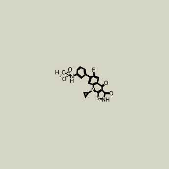 CS(=O)(=O)Nc1cccc(-c2cc3c(cc2F)c(=O)c2c(=O)[nH]sc2n3C2CC2)c1